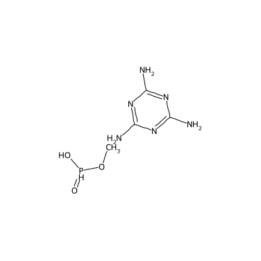 CO[PH](=O)O.Nc1nc(N)nc(N)n1